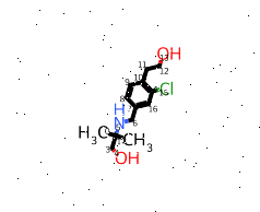 CC(C)(CO)NCc1ccc([CH]CO)c(Cl)c1